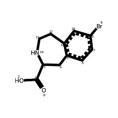 O=C(O)C1Cc2ccc(Br)cc2CCN1